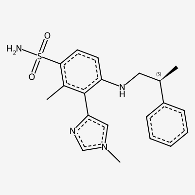 Cc1c(S(N)(=O)=O)ccc(NC[C@@H](C)c2ccccc2)c1-c1cn(C)cn1